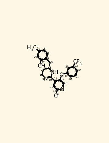 Cc1ccc(C[C@@H]2CCN=C(c3cc(Cl)ncc3Oc3cccc(C(F)(F)F)c3)N2)c(C)c1